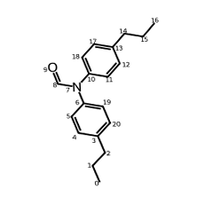 CCCc1ccc(N(C=O)c2ccc(CCC)cc2)cc1